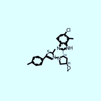 CO[C@@H]1C[C@@H](c2nc3ccc(Cl)c(C)c3[nH]2)N(N2[C]=C(c3ccc(C)cc3)SC2C)C1